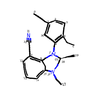 Cc1ccc(C)c(N2c3c(C#N)cccc3N(C)[C@@H]2C)c1